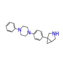 c1ccc(N2CCN(c3ccc(C45CNCC4C5)cc3)CC2)cc1